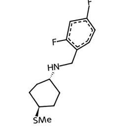 CS[C@H]1CC[C@H](NCc2ccc(F)cc2F)CC1